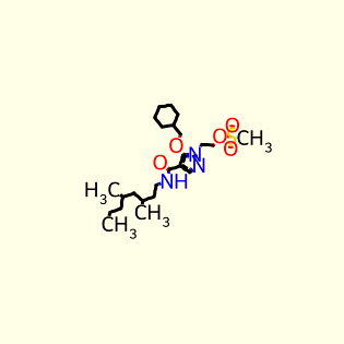 CCCC(C)CC(C)CCNC(=O)c1cnn(CCOS(C)(=O)=O)c1OCC1CCCCC1